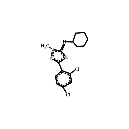 Cn1nc(-c2ccc(Cl)cc2Cl)sc1=NC1CCCCC1